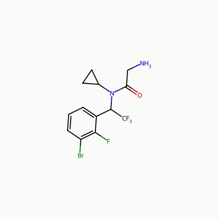 NCC(=O)N(C1CC1)C(c1cccc(Br)c1F)C(F)(F)F